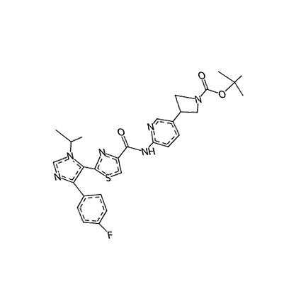 CC(C)n1cnc(-c2ccc(F)cc2)c1-c1nc(C(=O)Nc2ccc(C3CN(C(=O)OC(C)(C)C)C3)cn2)cs1